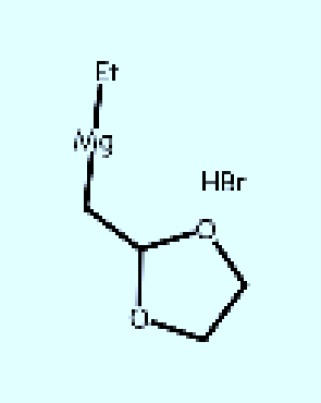 Br.C[CH2][Mg][CH2]C1OCCO1